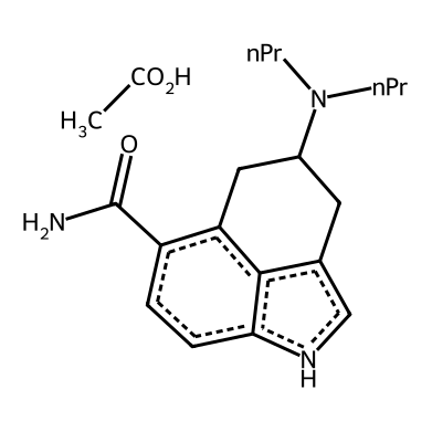 CC(=O)O.CCCN(CCC)C1Cc2c[nH]c3ccc(C(N)=O)c(c23)C1